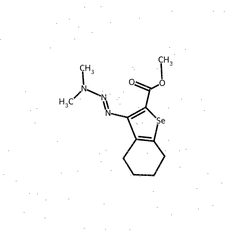 COC(=O)c1[se]c2c(c1/N=N/N(C)C)CCCC2